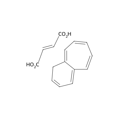 C1=CC=C2CC=CC=C2C=C1.O=C(O)C=CC(=O)O